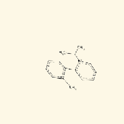 Cc1ccccc1-c1cccc[n+]1C(C)C